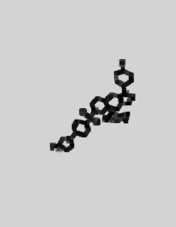 CO[C@H](C1CC1)C12Cc3cnn(-c4ccc(F)cc4)c3C=C1CCN(S(=O)(=O)c1ccc(N3CC[C@@H](F)C3)cc1)C2